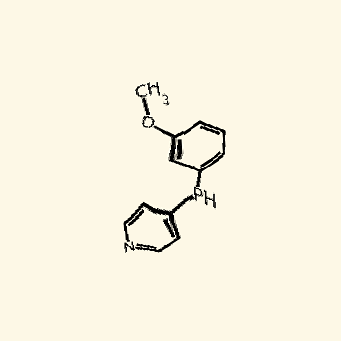 COc1cccc(Pc2ccncc2)c1